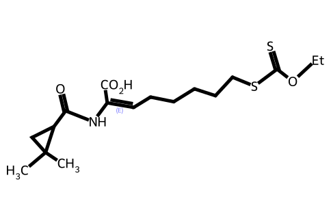 CCOC(=S)SCCCCC/C=C(/NC(=O)C1CC1(C)C)C(=O)O